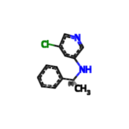 C[C@@H](Nc1cncc(Cl)c1)c1ccccc1